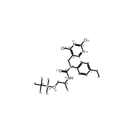 CCc1ccc(N(Cc2cnc(Cl)nc2Cl)C(=O)NC(C)CO[Si](C)(C)C(C)(C)C)cc1